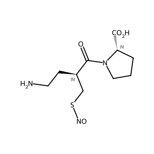 NCC[C@H](CSN=O)C(=O)N1CCC[C@H]1C(=O)O